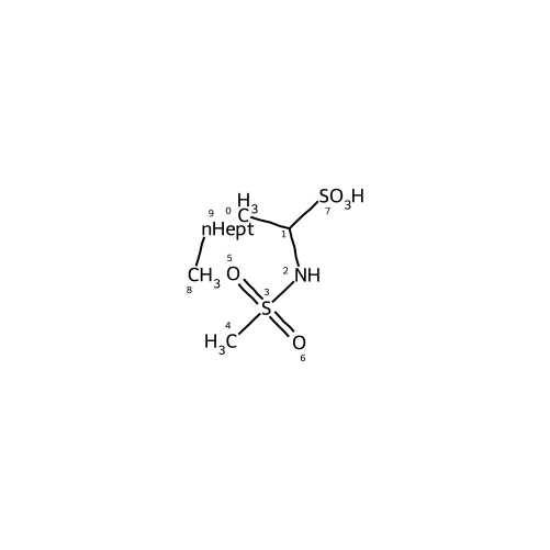 CC(NS(C)(=O)=O)S(=O)(=O)O.CCCCCCCC